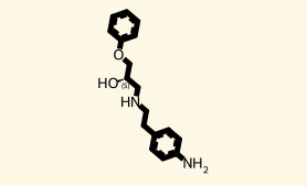 Nc1ccc(CCNC[C@H](O)COc2ccccc2)cc1